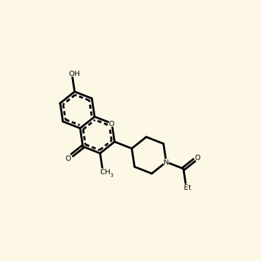 CCC(=O)N1CCC(c2oc3cc(O)ccc3c(=O)c2C)CC1